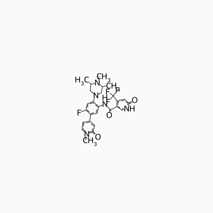 CC1CN(c2cc(F)c(-c3ccn(C)c(=O)c3)cc2NC(=O)c2c[nH]c(=O)cc2C(F)(F)F)CC(C)N1C